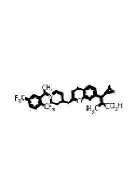 CC(C(=O)O)C(c1ccc2c(c1)OC(CC1CCN(C(C)c3cc(C(F)(F)F)ccc3C(F)(F)F)CC1)CC2)C1CC1